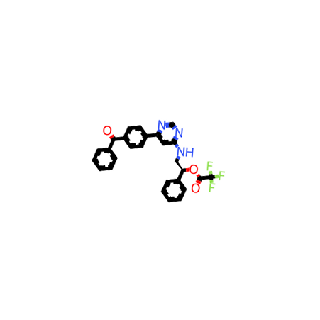 O=C(c1ccccc1)c1ccc(-c2cc(NC[C@@H](OC(=O)C(F)(F)F)c3ccccc3)ncn2)cc1